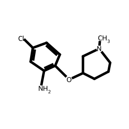 CN1CCCC(Oc2ccc(Cl)cc2N)C1